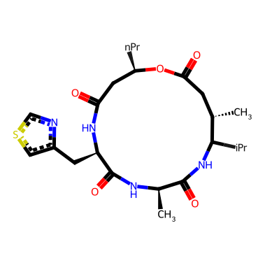 CCC[C@@H]1CC(=O)N[C@H](Cc2cscn2)C(=O)N[C@H](C)C(=O)NC(C(C)C)[C@@H](C)CC(=O)O1